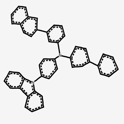 c1ccc(-c2ccc(N(c3ccc(-n4c5ccccc5c5ccccc54)cc3)c3cccc(-c4ccc5ccccc5c4)c3)cc2)cc1